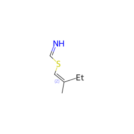 CC/C(C)=C\SC=N